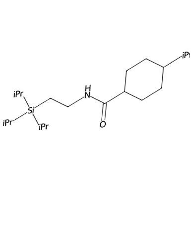 CC(C)C1CCC(C(=O)NCC[Si](C(C)C)(C(C)C)C(C)C)CC1